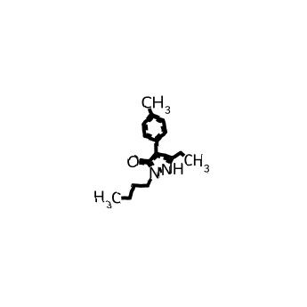 CCCCn1[nH]c(CC)c(-c2ccc(C)cc2)c1=O